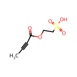 CC#CC(=O)OCCS(=O)(=O)O